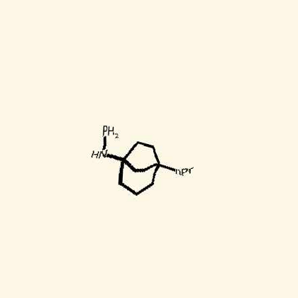 CCCC12CCCC(NP)(CC1)CC2